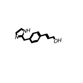 OCC=Cc1ccc(Cc2ncc[nH]2)cc1